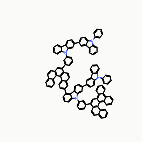 c1ccc(-n2c3ccccc3c3cc(-c4ccc5c6ccccc6n(-c6cccc(-c7cc8ccc9ccccc9c8c8c7ccc7cc(-c9cccc%10c9c9ccc(-c%11ccc%12c(c%11)c%11ccccc%11n%12-c%11ccccc%11)cc9n%10-c9cccc(-c%10cc%11c%12ccccc%12c%12ccccc%12c%11c%11c%10ccc%10ccccc%10%11)c9)ccc78)c6)c5c4)ccc32)cc1